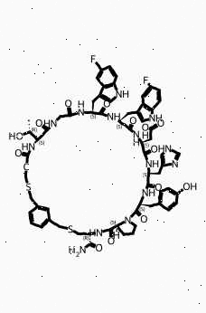 C[C@@H](O)[C@@H]1NC(=O)CCSCc2cccc(c2)CSC[C@@H](C(N)=O)NC(=O)[C@@H]2CCCN2C(=O)[C@H](Cc2ccc(O)cc2)NC(=O)[C@H](Cc2c[nH]cn2)NC(=O)[C@H](CC(=O)O)NC(=O)[C@H](Cc2c[nH]c3ccc(F)cc23)NC(=O)[C@H](Cc2c[nH]c3ccc(F)cc23)NC(=O)CNC1=O